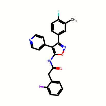 Cc1cc(-c2noc(NC(=O)Cc3ccccc3I)c2-c2ccncc2)ccc1F